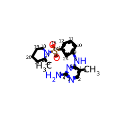 Cc1cnc(N)nc1Nc1cccc(S(=O)(=O)N2CCCCC2C)c1